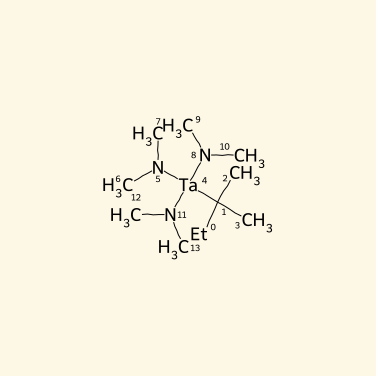 CC[C](C)(C)[Ta]([N](C)C)([N](C)C)[N](C)C